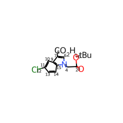 CC(C)(C)OC(=O)Cn1cc(C(=O)O)c2cc(Cl)ccc21